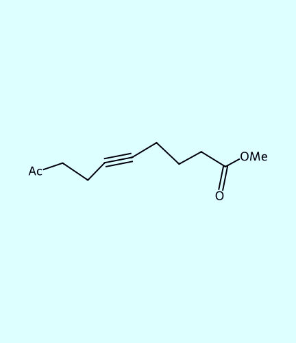 COC(=O)CCCC#CCCC(C)=O